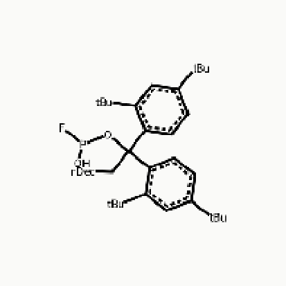 CCCCCCCCCCCC(OP(O)F)(c1ccc(C(C)(C)C)cc1C(C)(C)C)c1ccc(C(C)(C)C)cc1C(C)(C)C